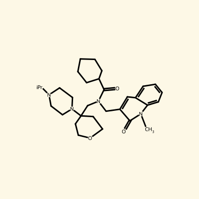 CC(C)N1CCN(C2(CN(Cc3cc4ccccc4n(C)c3=O)C(=O)C3CCCCC3)CCOCC2)CC1